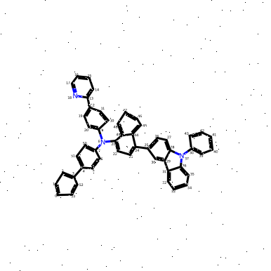 c1ccc(-c2ccc(N(c3ccc(-c4ccccn4)cc3)c3ccc(-c4ccc5c(c4)c4ccccc4n5-c4ccccc4)c4ccccc34)cc2)cc1